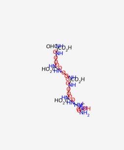 CI=IN[C@@H](CCCCNC(=O)CC[C@H](NC(=O)COCCOCCNC(=O)CC[C@H](NC(=O)COCCOCCNC(=O)CC[C@H](NC(=O)COCCOCCNC(=O)CC[C@H](NC=O)C(=O)O)C(=O)O)C(=O)O)C(=O)O)C(=O)N[C@H](C(N)=O)[C@@H](C)O